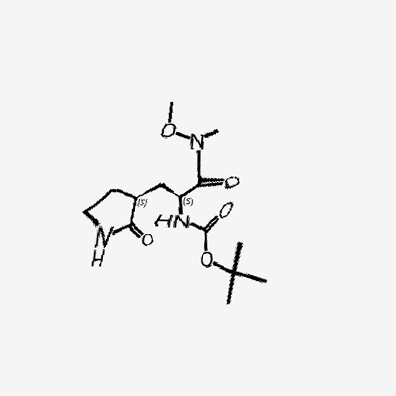 CON(C)C(=O)[C@H](C[C@@H]1CCNC1=O)NC(=O)OC(C)(C)C